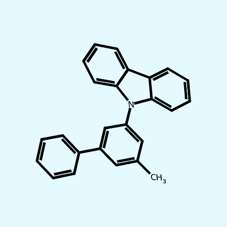 Cc1cc(-c2ccccc2)cc(-n2c3ccccc3c3ccccc32)c1